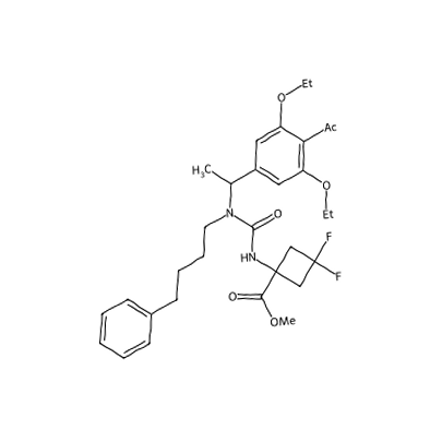 CCOc1cc(C(C)N(CCCCc2ccccc2)C(=O)NC2(C(=O)OC)CC(F)(F)C2)cc(OCC)c1C(C)=O